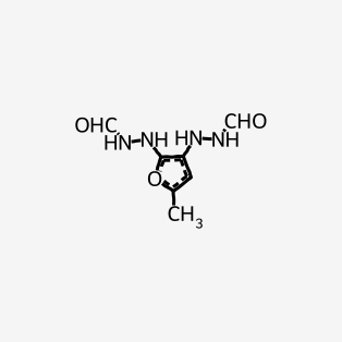 Cc1cc(NNC=O)c(NNC=O)o1